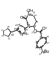 CCCCc1ccc(C(=O)OC2CCN(C)C(=O)N2c2nnc(C3CCCC3)s2)cc1